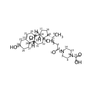 CC(CCC(=O)N1CCN(C(=O)O)CC1)[C@H]1CC[C@H]2[C@@H]3CC=C4C[C@@H](O)CC[C@]4(C)[C@H]3CC[C@]12C